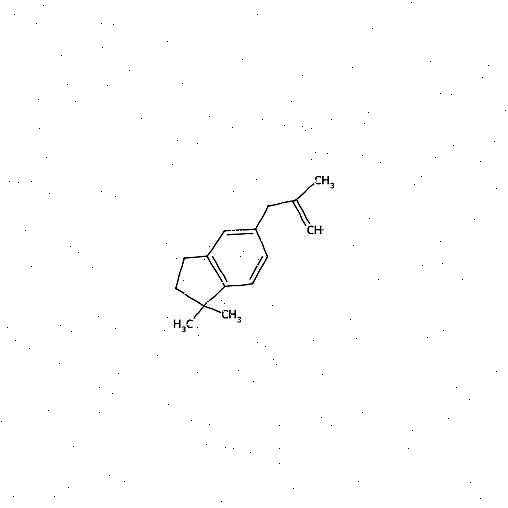 [CH]=C(C)Cc1ccc2c(c1)CCC2(C)C